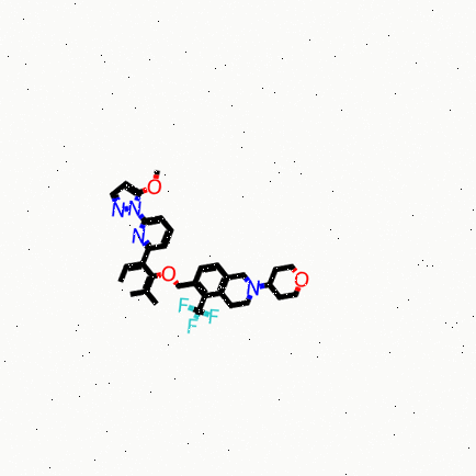 C/C=C(\C(OCc1ccc2c(c1C(F)(F)F)CCN(C1CCOCC1)C2)=C(C)C)c1cccc(-n2nccc2OC)n1